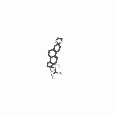 CCO[C@H](C)O[C@]1(C#N)CCC2C3CCC4=C(CCC5(C4)OCCO5)C3=CCC21C